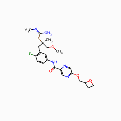 C/N=C(/N)S[C@@](C)(COC)Cc1cc(NC(=O)c2cnc(OCC3CCO3)cn2)ccc1F